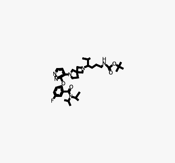 CC(C)C(CCCNC(=O)OC(C)(C)C)N1CC2(CCN(c3ccnnc3Oc3ccc(F)cc3C(=O)N(C(C)C)C(C)C)C2)C1